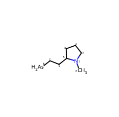 CN1CCCC1CC[AsH2]